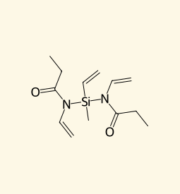 C=CN(C(=O)CC)[Si](C)(C=C)N(C=C)C(=O)CC